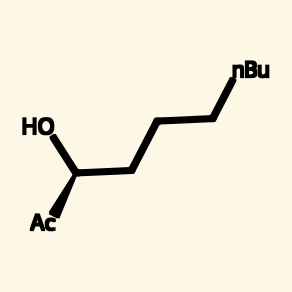 CCCCCCC[C@H](O)C(C)=O